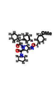 COc1ccc(CON=C2C[C@@H](C(=O)N3CCCCC3)N(C(=O)C(c3ccccc3)c3ccccc3)C2)cc1